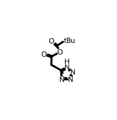 CC(C)(C)C(=O)OC(=O)Cc1nnn[nH]1